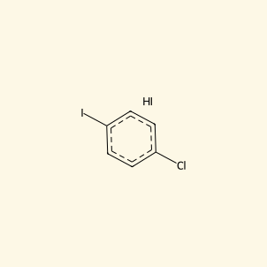 Clc1ccc(I)cc1.I